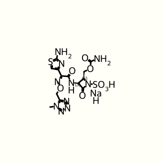 Cn1nnnc1CON=C(C(=O)N[C@@H]1C(=O)N(S(=O)(=O)O)[C@@H]1COC(N)=O)c1csc(N)n1.[NaH]